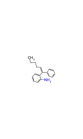 CCCC/C=C(/c1ccccc1)c1ccccc1N